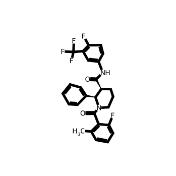 Cc1cccc(F)c1C(=O)N1CCC[C@H](C(=O)Nc2ccc(F)c(C(F)(F)F)c2)[C@@H]1c1ccccc1